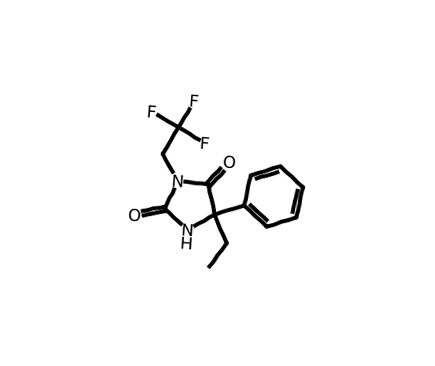 CCC1(c2ccccc2)NC(=O)N(CC(F)(F)F)C1=O